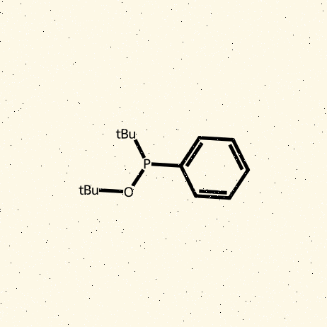 CC(C)(C)OP(c1ccccc1)C(C)(C)C